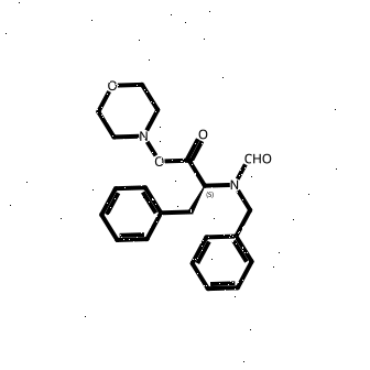 O=CN(Cc1ccccc1)[C@@H](Cc1ccccc1)C(=O)ON1CCOCC1